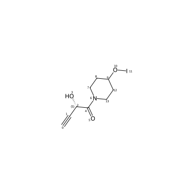 C#C[C@H](O)C(=O)N1CCC(OI)CC1